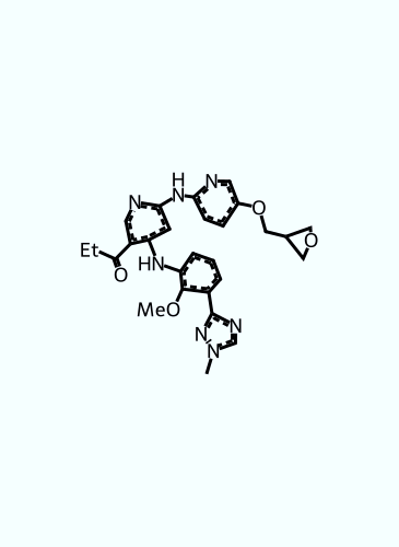 CCC(=O)c1cnc(Nc2ccc(OCC3COC3)cn2)cc1Nc1cccc(-c2ncn(C)n2)c1OC